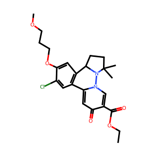 CCOC(=O)c1cn2c(cc1=O)-c1cc(Cl)c(OCCCOC)cc1C1CCC(C)(C)N12